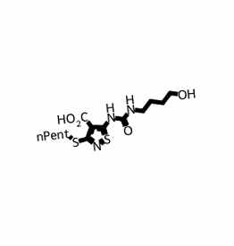 CCCCCSc1nsc(NC(=O)NCCCCO)c1C(=O)O